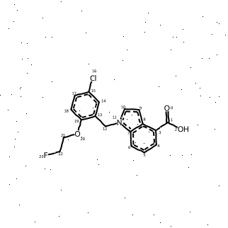 O=C(O)c1cccc2c1ccn2Cc1cc(Cl)ccc1OCCF